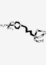 CO[Si](CCCCN1CCN([Si](C)(C)C)CC1)(OC)OC